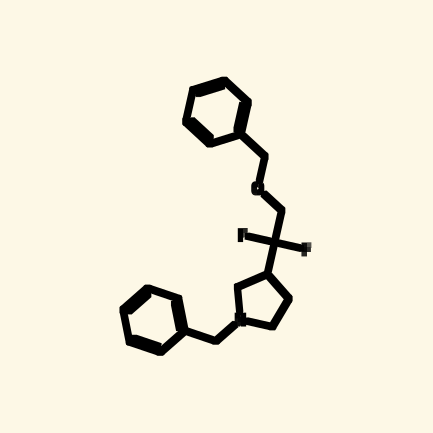 FC(F)(COCc1ccccc1)C1CCN(Cc2ccccc2)C1